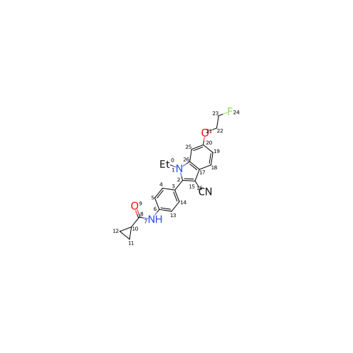 CCn1c(-c2ccc(NC(=O)C3CC3)cc2)c(C#N)c2ccc(OCCF)cc21